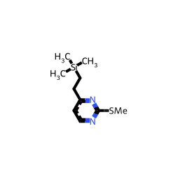 CSc1nccc(CC[Si](C)(C)C)n1